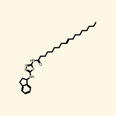 CCCCCCCC/C=C/CCCCCCCC(=O)Nc1nnc(NC2CCc3ccccc32)s1